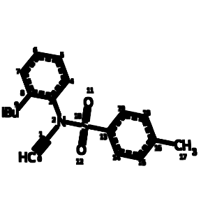 C#CN(c1ccccc1C(C)CC)S(=O)(=O)c1ccc(C)cc1